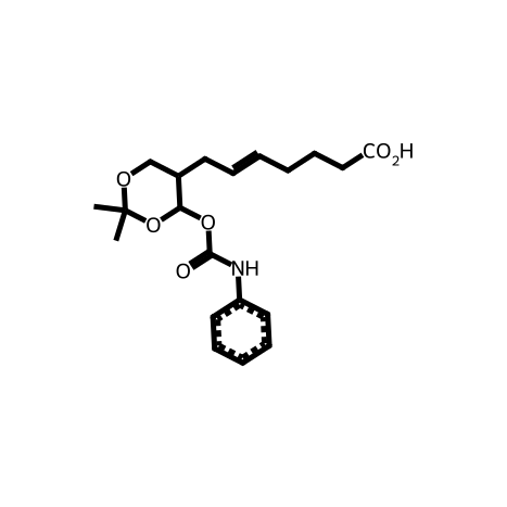 CC1(C)OCC(CC=CCCCC(=O)O)C(OC(=O)Nc2ccccc2)O1